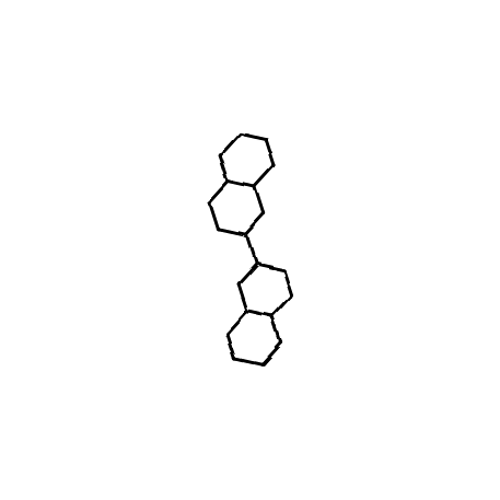 C1CCC2CC(C3CCC4CCCCC4C3)CCC2C1